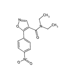 CCN(CC)C(=O)c1cnoc1-c1ccc([N+](=O)[O-])cc1